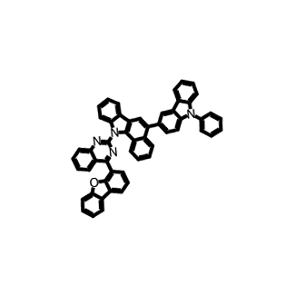 c1ccc(-n2c3ccccc3c3cc(-c4cc5c6ccccc6n(-c6nc(-c7cccc8c7oc7ccccc78)c7ccccc7n6)c5c5ccccc45)ccc32)cc1